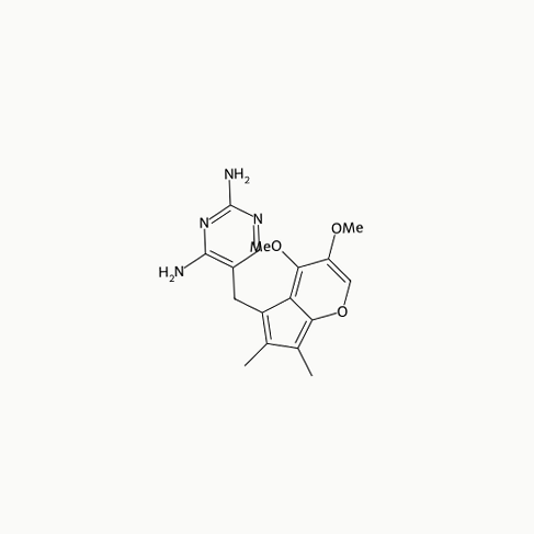 COc1coc2c(C)c(C)c(Cc3cnc(N)nc3N)c-2c1OC